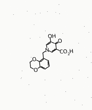 O=C(O)c1cn(Cc2cccc3c2OCCO3)cc(O)c1=O